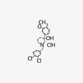 COc1cccc(C2(O)CCCN(Cc3ccc(Cl)c(Cl)c3)C2)c1.Cl